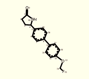 O=C1CCC(c2ccc(-c3ccc(OCF)cc3)cc2)N1